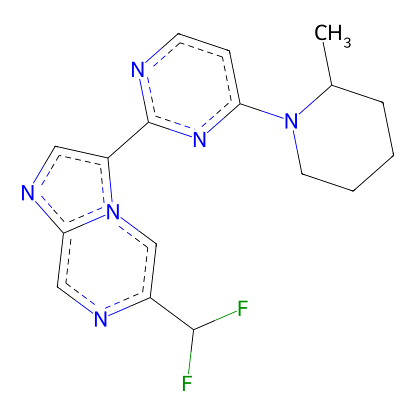 CC1CCCCN1c1ccnc(-c2cnc3cnc(C(F)F)cn23)n1